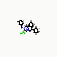 Cl.Cl.c1ccc(CN2CCN3C[C@H](c4ccccc4)c4ccccc4[C@H]3C2)cc1